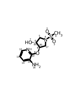 CS(=O)(=O)N1C[C@@H](O)[C@H](Oc2ncccc2N)C1